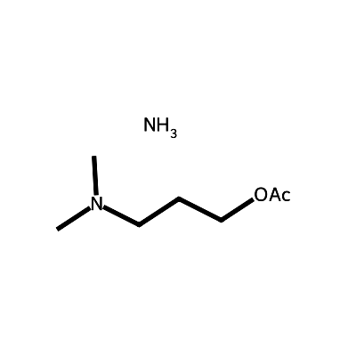 CC(=O)OCCCN(C)C.N